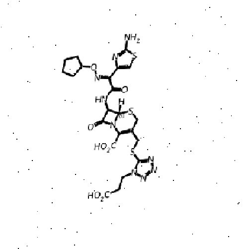 Nc1nc(C(=NOC2CCCC2)C(=O)NC2C(=O)N3C(C(=O)O)=C(CSc4nnnn4CCC(=O)O)CS[C@@H]23)cs1